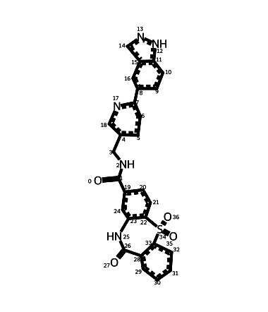 O=C(NCc1ccc(-c2ccc3[nH]ncc3c2)nc1)c1ccc2c(c1)NC(=O)c1ccccc1S2(=O)=O